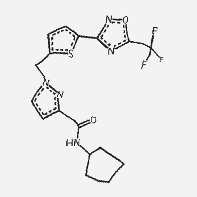 O=C(NC1CCCC1)c1ccn(Cc2ccc(-c3noc(C(F)(F)F)n3)s2)n1